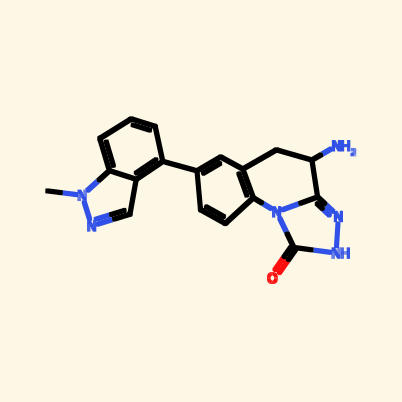 Cn1ncc2c(-c3ccc4c(c3)CC(N)c3n[nH]c(=O)n3-4)cccc21